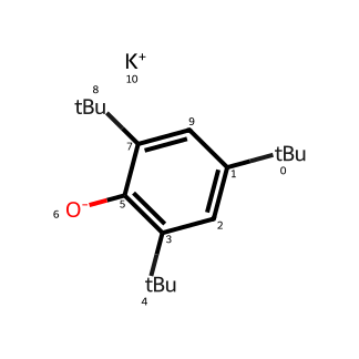 CC(C)(C)c1cc(C(C)(C)C)c([O-])c(C(C)(C)C)c1.[K+]